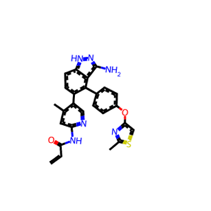 C=CC(=O)Nc1cc(C)c(-c2ccc3[nH]nc(N)c3c2-c2ccc(Oc3csc(C)n3)cc2)cn1